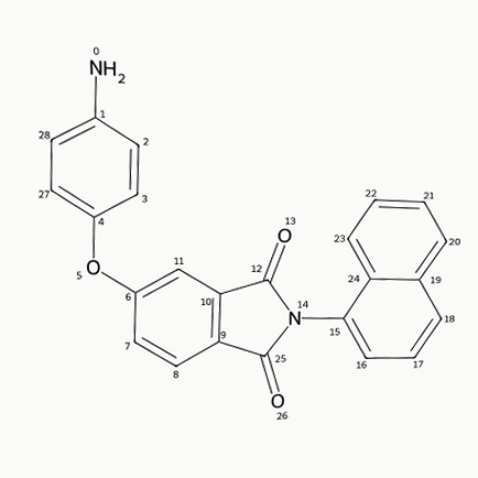 Nc1ccc(Oc2ccc3c(c2)C(=O)N(c2cccc4ccccc24)C3=O)cc1